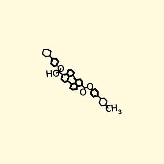 CC1CCC(c2ccc(OC(=O)c3ccc4c5cccc6c(C(O)Oc7ccc(C8CCCCC8)cc7)ccc(c7cccc3c47)c65)cc2)CC1